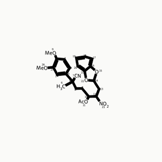 COc1ccc(C(C)(C#N)CCC(OC(C)=O)C(CC2Oc3ccccc3O2)[N+](=O)[O-])cc1OC